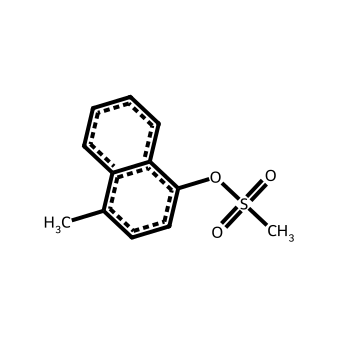 Cc1ccc(OS(C)(=O)=O)c2ccccc12